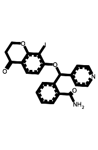 NC(=O)c1ccccc1C(Oc1ccc2c(c1I)OCCC2=O)c1ccncc1